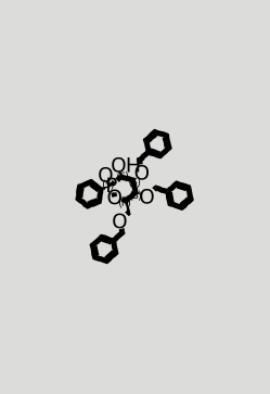 O=[P@@]1(c2ccccc2)O[C@H](COCc2ccccc2)[C@@H](OCc2ccccc2)[C@H](OCc2ccccc2)[C@H]1O